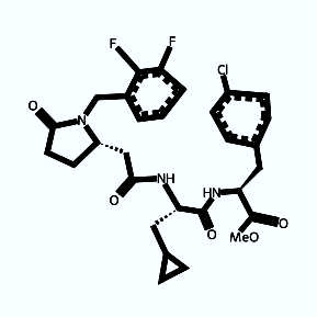 COC(=O)[C@H](Cc1ccc(Cl)cc1)NC(=O)[C@H](CC1CC1)NC(=O)C[C@@H]1CCC(=O)N1Cc1cccc(F)c1F